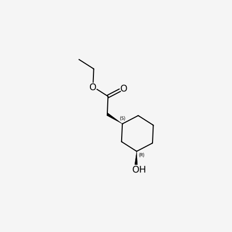 CCOC(=O)C[C@H]1CCC[C@@H](O)C1